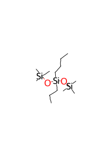 CCCC[Si](CCC)(O[Si](C)(C)C)O[Si](C)(C)C